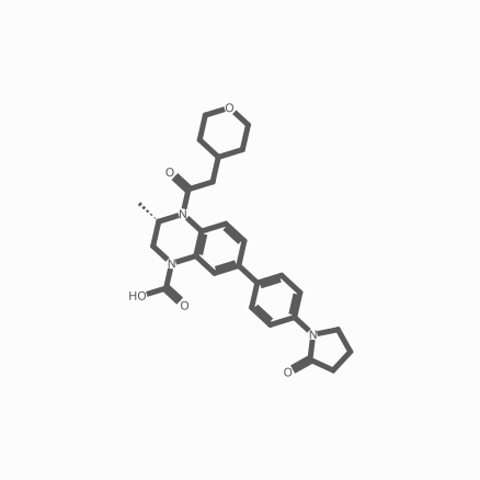 C[C@H]1CN(C(=O)O)c2cc(-c3ccc(N4CCCC4=O)cc3)ccc2N1C(=O)CC1CCOCC1